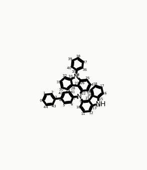 c1ccc(-c2ccc(N(c3cccc4[nH]c5ccccc5c34)c3cccc4c3c3ccccc3n4-c3ccccc3)cc2)cc1